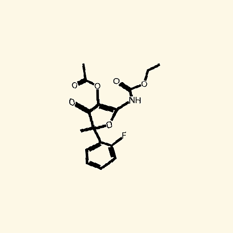 CCOC(=O)NC1=C(OC(C)=O)C(=O)C(C)(c2ccccc2F)O1